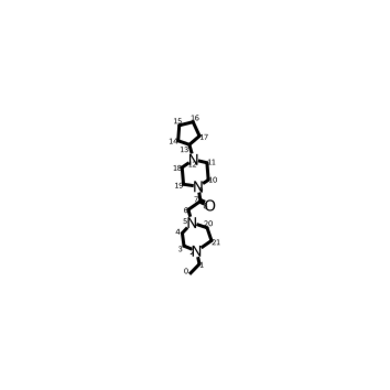 CCN1CCN(CC(=O)N2CCN(C3CCCC3)CC2)CC1